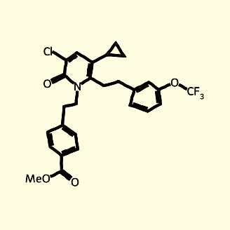 COC(=O)c1ccc(CCn2c(CCc3cccc(OC(F)(F)F)c3)c(C3CC3)cc(Cl)c2=O)cc1